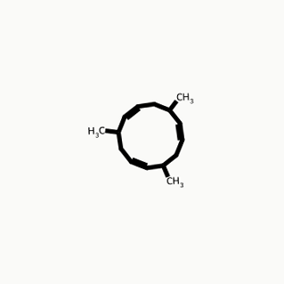 CC1C=CCC(C)C=CCC(C)C=CC1